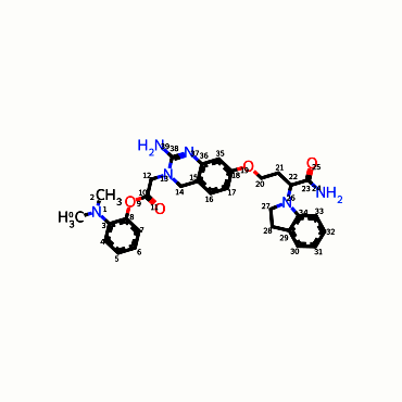 CN(C)c1ccccc1OC(=O)CN1Cc2ccc(OCCC(C(N)=O)N3CCc4ccccc43)cc2N=C1N